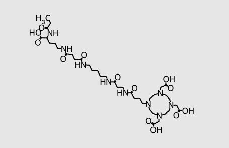 CCC(=O)NC(CCCNC(=O)CCC(=O)NCCCCCNC(=O)CCNC(=O)CCCN1CCN(CC(=O)O)CCN(CC(=O)O)CCN(CC(=O)O)CC1)C(=O)O